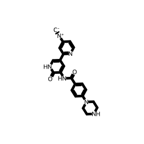 [C-]#[N+]c1ccnc(-c2c[nH]c(=O)c(NC(=O)c3ccc(N4CCNCC4)cc3)c2)c1